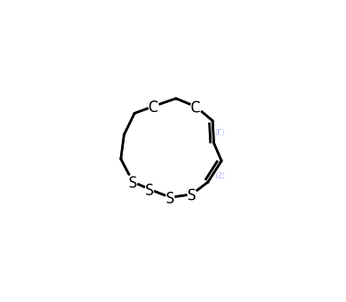 C1=C\SSSSCCCCCC/C=C/1